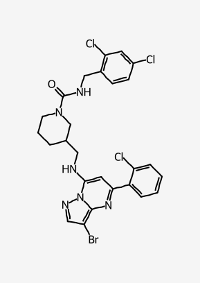 O=C(NCc1ccc(Cl)cc1Cl)N1CCCC(CNc2cc(-c3ccccc3Cl)nc3c(Br)cnn23)C1